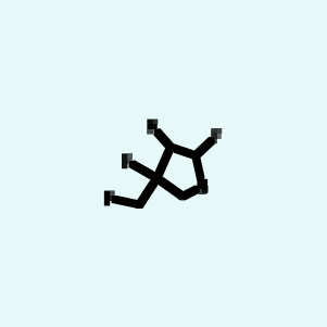 FCC1(F)CSC(F)C1F